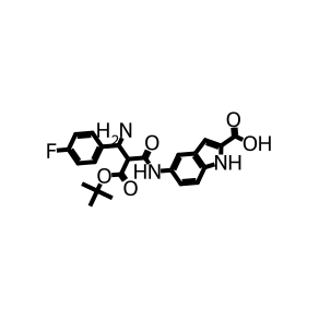 CC(C)(C)OC(=O)C(C(=O)Nc1ccc2[nH]c(C(=O)O)cc2c1)C(N)c1ccc(F)cc1